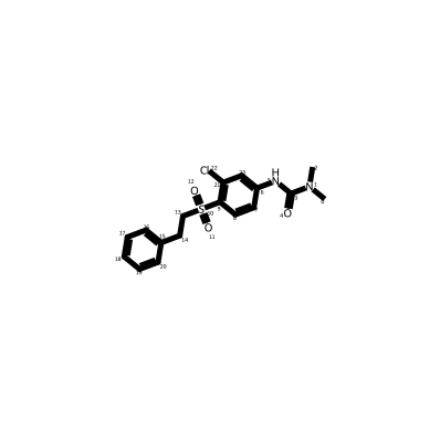 CN(C)C(=O)Nc1ccc(S(=O)(=O)CCc2ccccc2)c(Cl)c1